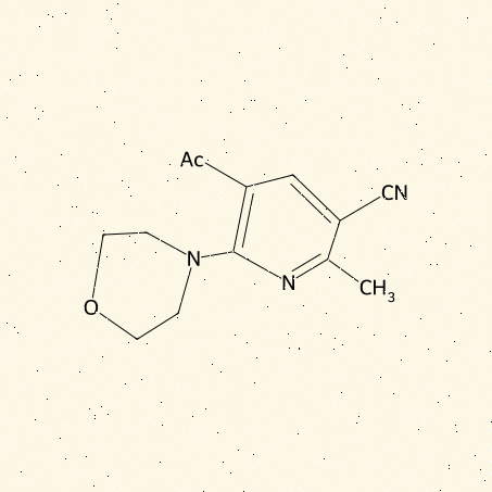 CC(=O)c1cc(C#N)c(C)nc1N1CCOCC1